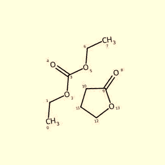 CCOC(=O)OCC.O=C1CCCO1